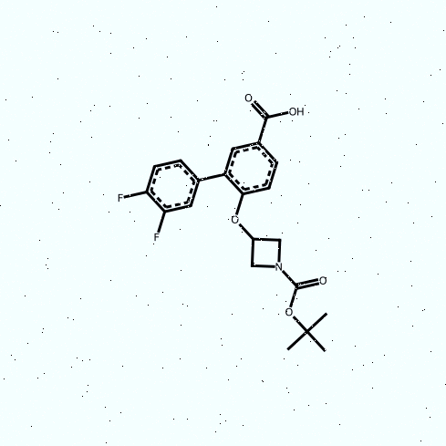 CC(C)(C)OC(=O)N1CC(Oc2ccc(C(=O)O)cc2-c2ccc(F)c(F)c2)C1